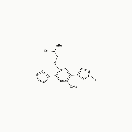 CCCCC(CC)COc1cc(-c2ccc(I)s2)c(OC)cc1-c1cccs1